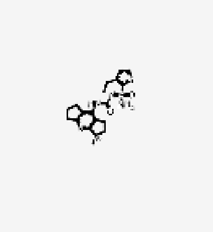 CCc1ccsc1S(N)(=O)=NC(=O)Nc1c2c(nc3c1CC[C@H]3C)CCC2